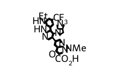 CCNc1cc(C(F)(F)F)cc2c1[nH]c1ncc(-c3cnc4c(c3)c(=O)c(C(=O)O)cn4NC)c(N3CCC4CN(C)CC43)c12